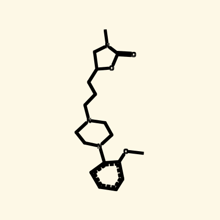 COc1ccccc1N1CCN(CCCC2CN(C)C(=O)O2)CC1